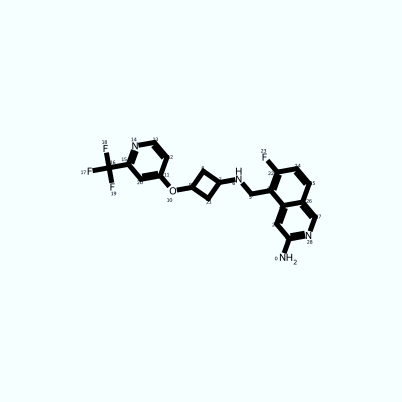 Nc1cc2c(CNC3CC(Oc4ccnc(C(F)(F)F)c4)C3)c(F)ccc2cn1